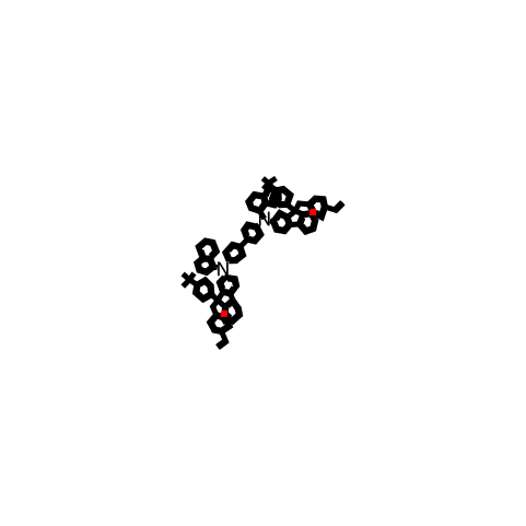 C=Cc1ccc(CC2(c3ccc(C(C)(C)C)cc3)c3ccccc3-c3ccc(N(c4ccc(-c5ccc(N(c6ccc7c(c6)C(Cc6ccc(C=C)cc6)(c6ccc(C(C)(C)C)cc6)c6ccccc6-7)c6cccc7ccccc67)cc5)cc4)c4cccc5ccccc45)cc32)cc1